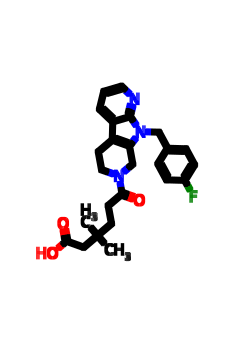 CC(C)(CCC(=O)N1CCc2c(n(Cc3ccc(F)cc3)c3ncccc23)C1)CC(=O)O